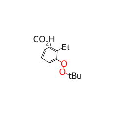 CCc1c(OOC(C)(C)C)cccc1C(=O)O